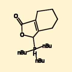 CCCC[PH](CCCC)(CCCC)C1OC(=O)C2=C1CCCC2